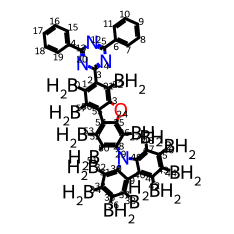 Bc1c(-c2nc(-c3ccccc3)nc(-c3ccccc3)n2)c(B)c2oc3c(B)c(-n4c5c(B)c(B)c(B)c(B)c5c5c(B)c(B)c(B)c(B)c54)c(B)c(B)c3c2c1B